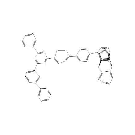 C1=CC2=C(C=1)C1c3ccccc3C2c2cccc(-c3ccc(-c4ccc(-c5nc(-c6ccccc6)nc(-c6cccc(-c7ccccn7)c6)n5)cc4)cc3)c21